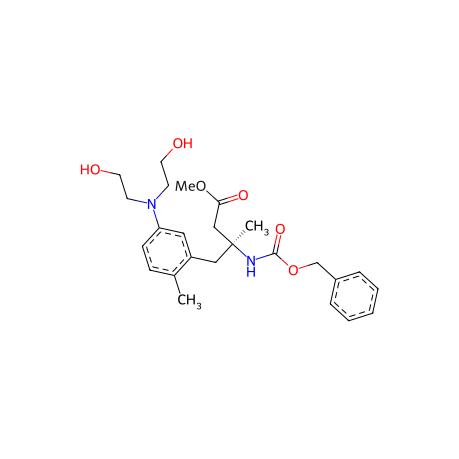 COC(=O)C[C@](C)(Cc1cc(N(CCO)CCO)ccc1C)NC(=O)OCc1ccccc1